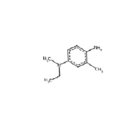 CCN(C)c1ccc(N)c(C)c1